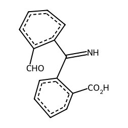 N=C(c1ccccc1C=O)c1ccccc1C(=O)O